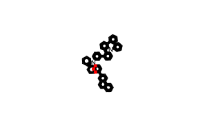 c1ccc(-c2cccc3c4c(-c5cccc(N(c6ccc(-c7ccc8c(ccc9ccccc98)c7)cc6)C67CCCCC6C76CCCCC6)c5)cccc4n(-c4ccccc4)c23)cc1